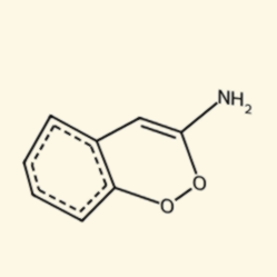 NC1=Cc2ccccc2OO1